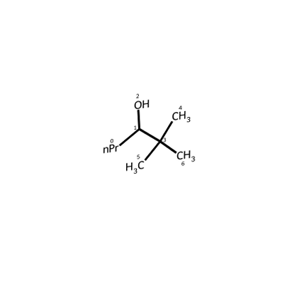 CCCC(O)C(C)(C)C